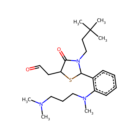 CN(C)CCCN(C)c1ccccc1C1SC(CC=O)C(=O)N1CCC(C)(C)C